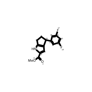 COC(=O)c1cc2c([nH]1)CCC2c1cc(F)cc(F)c1